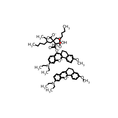 CCCCC(CC)CC(CC(CC)CCCC)(C(=O)[O-])C(C(=O)[O-])S(=O)(=O)O.CCN(CC)c1ccc2cc3c([o+]c2c1)-c1ccc(OC)cc1CC3.CCN(CC)c1ccc2cc3c([o+]c2c1)-c1ccc(OC)cc1CC3